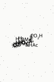 COc1cc(C(CCN(C)CCCC(=O)O)NC(C)=O)ccc1NC(=O)Nc1ccccc1C